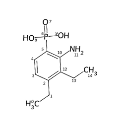 CCc1ccc(P(=O)(O)O)c(N)c1CC